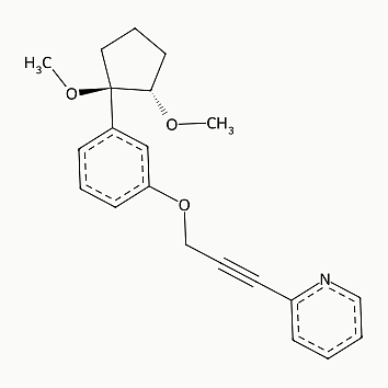 CO[C@H]1CCC[C@@]1(OC)c1cccc(OCC#Cc2ccccn2)c1